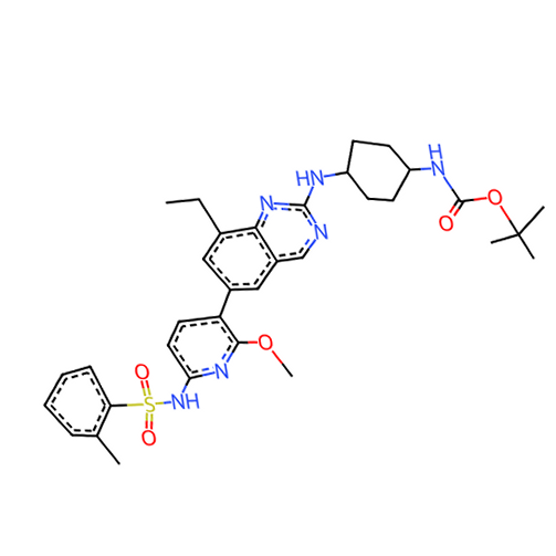 CCc1cc(-c2ccc(NS(=O)(=O)c3ccccc3C)nc2OC)cc2cnc(NC3CCC(NC(=O)OC(C)(C)C)CC3)nc12